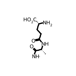 C[C@@H](NC(=O)CC[C@@H](N)C(=O)O)C([NH])=O